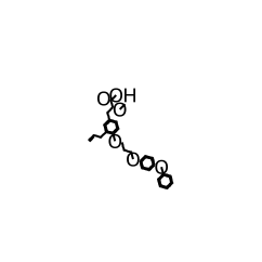 C=CCc1cc(CC(OC)C(=O)O)ccc1OCCCOc1ccc(Oc2ccccc2)cc1